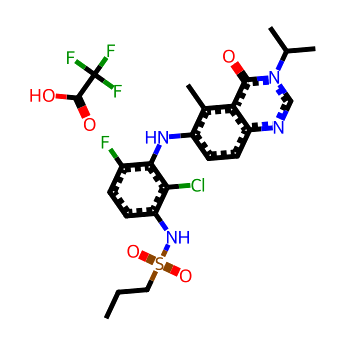 CCCS(=O)(=O)Nc1ccc(F)c(Nc2ccc3ncn(C(C)C)c(=O)c3c2C)c1Cl.O=C(O)C(F)(F)F